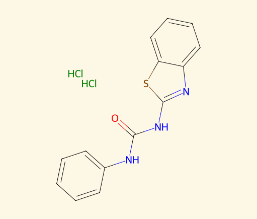 Cl.Cl.O=C(Nc1ccccc1)Nc1nc2ccccc2s1